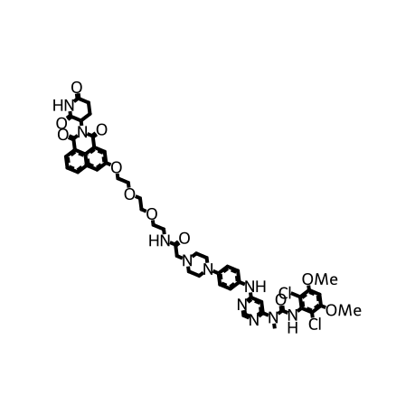 COc1cc(OC)c(Cl)c(NC(=O)N(C)c2cc(Nc3ccc(N4CCN(CC(=O)NCCOCCOCCOc5cc6c7c(cccc7c5)C(=O)N(C5CCC(=O)NC5=O)C6=O)CC4)cc3)ncn2)c1Cl